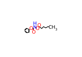 CCCCCC(=O)ONC(=O)Oc1ccccc1